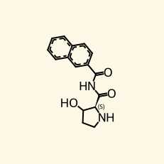 O=C(NC(=O)[C@H]1NCCC1O)c1ccc2ccccc2c1